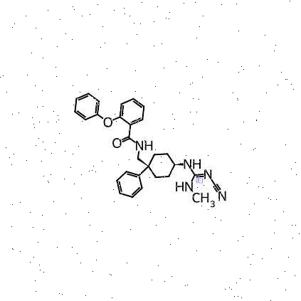 CN/C(=N\C#N)N[C@H]1CC[C@](CNC(=O)c2ccccc2Oc2ccccc2)(c2ccccc2)CC1